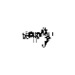 O=CC=CN1CC(Nc2cncc(-c3cnc(Nc4cccc(OC(F)(F)F)c4)nc3)n2)C1